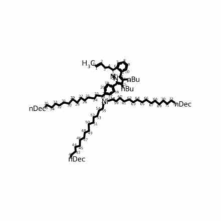 CC=CCCCc1ccccc1C1=C(CCCC)C(CCCC)=C(c2ccc(CCCCCCCCCCCCCCCCCCCCCCCC)cc2)[N+]1=[N-].CCCCCCCCCCCCCCCCCCCCCCCC[CH2][Ni][CH2]CCCCCCCCCCCCCCCCCCCCCCCC